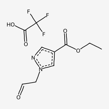 CCOC(=O)c1cnn(CC=O)c1.O=C(O)C(F)(F)F